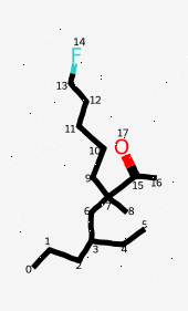 CCCC(CC)CC(C)(CCCCCF)C(C)=O